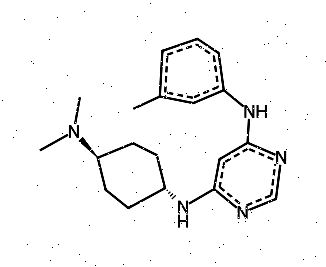 Cc1cccc(Nc2cc(N[C@H]3CC[C@H](N(C)C)CC3)ncn2)c1